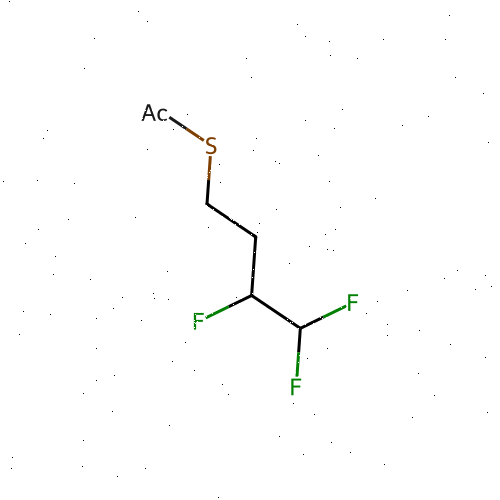 CC(=O)SCCC(F)C(F)F